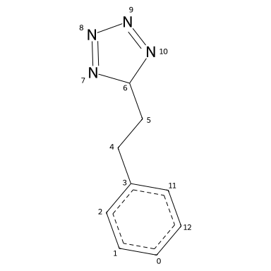 c1ccc(CCC2N=NN=N2)cc1